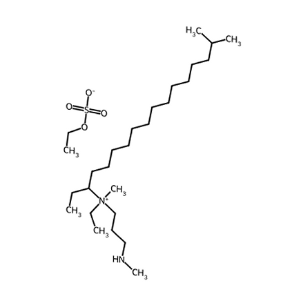 CCC(CCCCCCCCCCCCC(C)C)[N+](C)(CC)CCCNC.CCOS(=O)(=O)[O-]